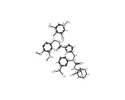 COc1ccc([C@H](Cc2c(Cl)c[n+]([O-])cc2Cl)OC(=O)c2ccc(CN(C(=O)O[C@H]3CN4CCC3CC4)c3cccc(C(F)F)c3)s2)cc1OC